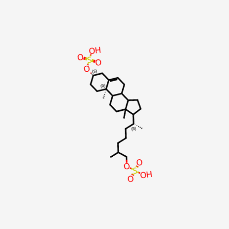 CC(CCC[C@@H](C)C1CCC2C3CC=C4C[C@@H](OS(=O)(=O)O)CC[C@]4(C)C3CCC21C)COS(=O)(=O)O